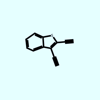 C#Cc1sc2ccccc2c1C#C